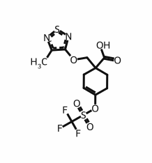 Cc1nsnc1OCC1(C(=O)O)CC=C(OS(=O)(=O)C(F)(F)F)CC1